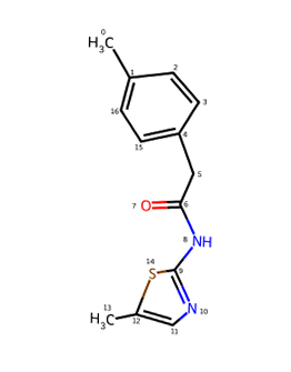 Cc1ccc(CC(=O)Nc2ncc(C)s2)cc1